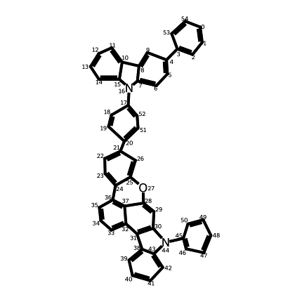 c1ccc(-c2ccc3c(c2)c2ccccc2n3-c2ccc(-c3ccc4c(c3)Oc3cc5c(c6cccc-4c36)c3ccccc3n5-c3ccccc3)cc2)cc1